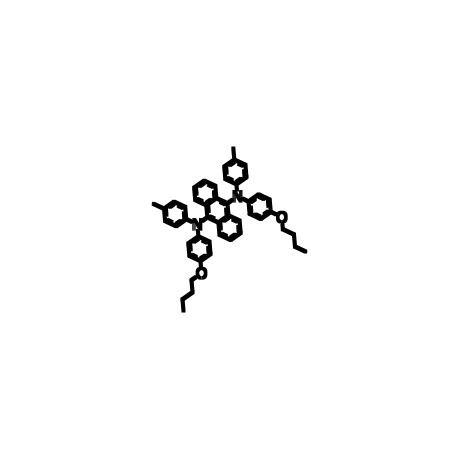 CCCCOc1ccc(N(c2ccc(C)cc2)c2c3ccccc3c(N(c3ccc(C)cc3)c3ccc(OCCCC)cc3)c3ccccc23)cc1